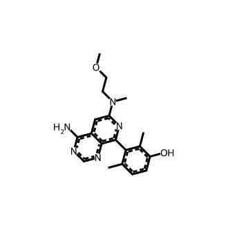 COCCN(C)c1cc2c(N)ncnc2c(-c2c(C)ccc(O)c2C)n1